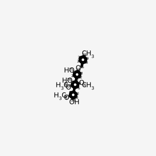 COc1cc(-c2cc(OC)c(-c3ccc(OCc4ccc(C)cc4)c(O)c3)c(O)c2OC)ccc1O